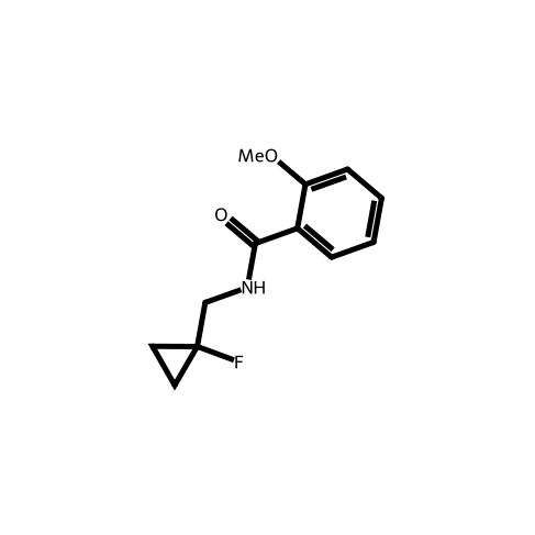 COc1ccccc1C(=O)NCC1(F)CC1